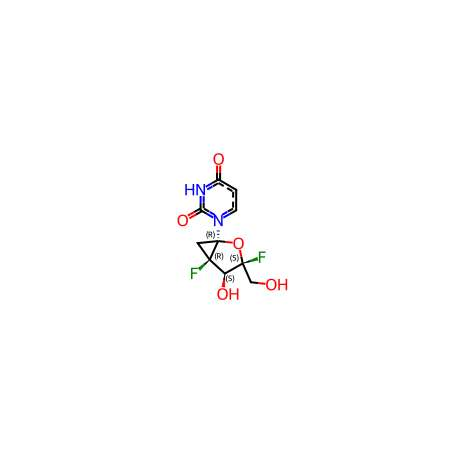 O=c1ccn([C@@]23C[C@@]2(F)[C@H](O)[C@@](F)(CO)O3)c(=O)[nH]1